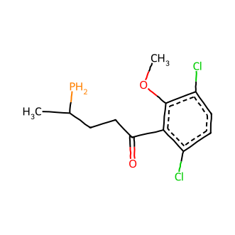 COc1c(Cl)ccc(Cl)c1C(=O)CCC(C)P